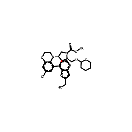 CC(C)(C)OC(=O)N1C[C@@H](N2CCOc3cc(Cl)cc(-c4ccnc5cc(CO)sc45)c32)C[C@@H]1COC1CCCCO1